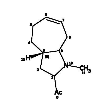 CC(=O)C1C[C@@H]2CCC=CCC2N1C